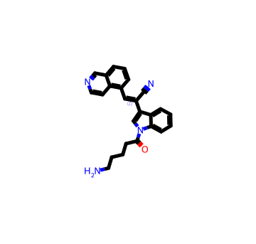 N#C/C(=C\c1cccc2cnccc12)c1cn(C(=O)CCCCN)c2ccccc12